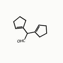 O=C[C](C1=CCCC1)C1=CCCC1